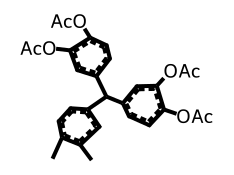 CC(=O)Oc1ccc(C(c2ccc(C)c(C)c2)c2ccc(OC(C)=O)c(OC(C)=O)c2)cc1OC(C)=O